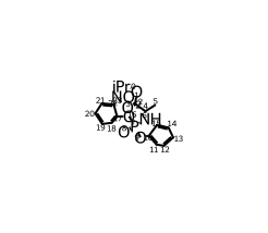 CC(C)OC(=O)C(C)NP(=O)(Oc1ccccc1)Oc1ccccc1[N+](=O)[O-]